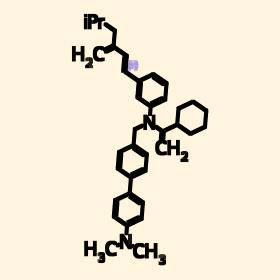 C=C(/C=C/c1cccc(N(Cc2ccc(-c3ccc(N(C)C)cc3)cc2)C(=C)C2CCCCC2)c1)CC(C)C